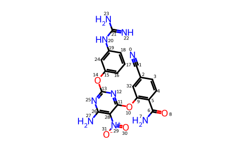 N#Cc1ccc(C(N)=O)c(Oc2nc(Oc3cccc(NC(=N)N)c3)nc(N)c2[N+](=O)[O-])c1